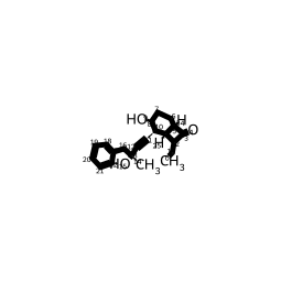 CCC1C(=O)[C@@H]2CC[C@H](O)[C@@H](C#C[C@@](C)(O)Cc3ccccc3)[C@H]12